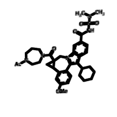 COc1ccc2c(c1)C1CC1(C(=O)N1CCCN(C(C)=O)CC1)Cn1c-2c(C2CCCCC2)c2ccc(C(=O)NS(=O)(=O)N(C)C)cc21